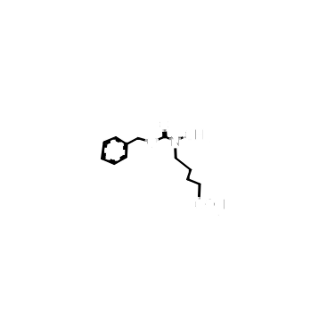 CN(CCCCC(=O)O)C(=O)OCc1ccccc1